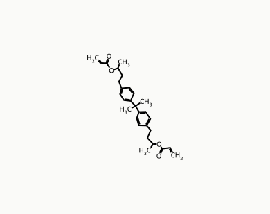 C=CC(=O)OC(C)CCc1ccc(C(C)(C)c2ccc(CCC(C)OC(=O)C=C)cc2)cc1